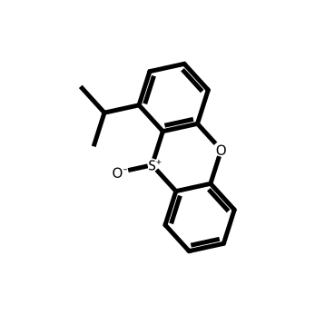 CC(C)c1cccc2c1[S+]([O-])c1ccccc1O2